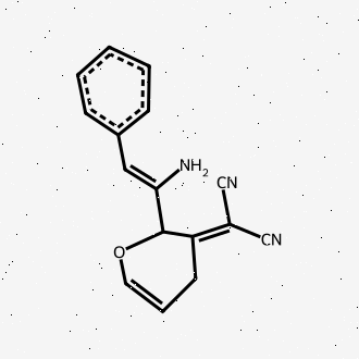 N#CC(C#N)=C1CC=COC1C(N)=Cc1ccccc1